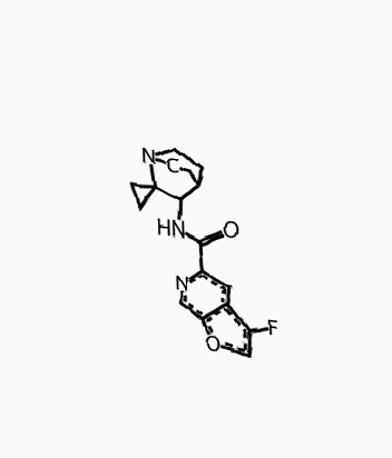 O=C(NC1C2CCN(CC2)C12CC2)c1cc2c(F)coc2cn1